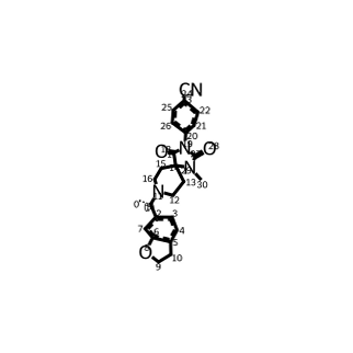 C[C@@H](c1ccc2c(c1)OCC2)N1CCC2(CC1)C(=O)N(c1ccc(C#N)cc1)C(=O)N2C